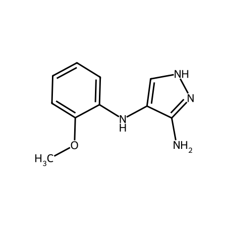 COc1ccccc1Nc1c[nH]nc1N